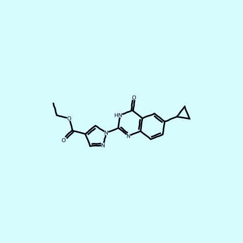 CCOC(=O)c1cnn(-c2nc3ccc(C4CC4)cc3c(=O)[nH]2)c1